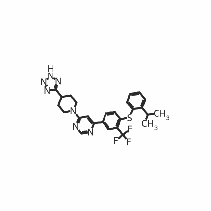 CC(C)c1ccccc1Sc1ccc(-c2cc(N3CCC(c4nn[nH]n4)CC3)ncn2)cc1C(F)(F)F